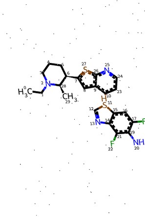 CCN1CCC[C@@H](c2cc3c([SH]4C=Nc5c4cc(F)c(N)c5F)ccnc3s2)[C@H]1C